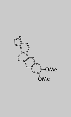 COc1cc2cc3ccc4c5ccsc5ccc4c3cc2cc1OC